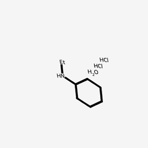 CCNC1CCCCC1.Cl.Cl.O